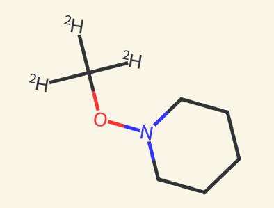 [2H]C([2H])([2H])ON1CCCCC1